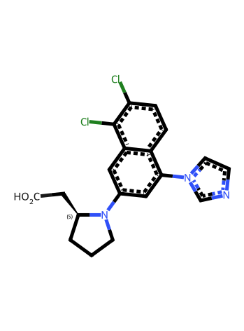 O=C(O)C[C@@H]1CCCN1c1cc(-n2ccnc2)c2ccc(Cl)c(Cl)c2c1